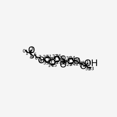 C=CC(=O)SCCCOc1ccc2c(ccc3cc(SC(=O)c4ccc(OCCOC(O)C=C)cc4)ccc32)c1